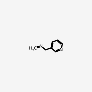 C=NCc1cccnc1